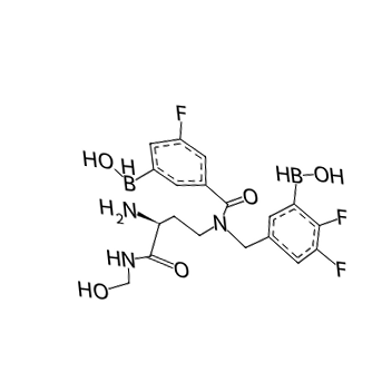 N[C@@H](CCN(Cc1cc(F)c(F)c(BO)c1)C(=O)c1cc(F)cc(BO)c1)C(=O)NCO